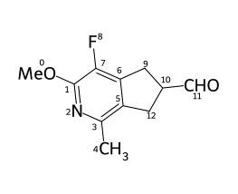 COc1nc(C)c2c(c1F)CC(C=O)C2